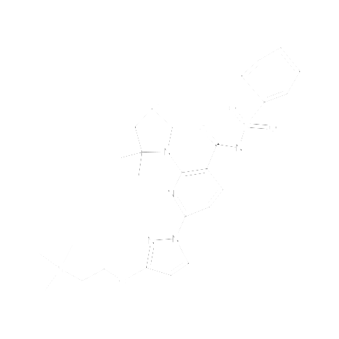 C[C@@H]1CN(c2nc(-n3ccc(OCCS(C)(C)C)n3)ccc2C(=O)NS(=O)(=O)c2ccccc2)C(C)(C)C1